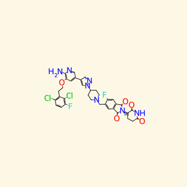 Nc1ncc(-c2cnn(C3CCN(Cc4cc5c(cc4F)C(=O)N([C@@H]4CCC(=O)NC4=O)C5=O)CC3)c2)cc1OCCc1c(Cl)ccc(F)c1Cl